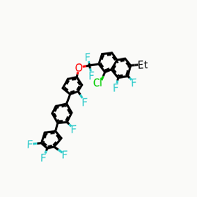 CCc1cc2ccc(C(F)(F)Oc3ccc(-c4ccc(-c5cc(F)c(F)c(F)c5)c(F)c4)c(F)c3)c(Cl)c2c(F)c1F